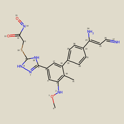 CONc1cc(C2=NNC(SCC(=O)N=O)N2)cc(-c2ccc(/C(N)=C/C=N)cc2)c1C